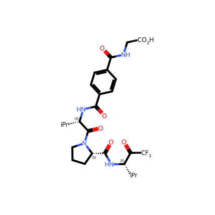 CC(C)[C@H](NC(=O)c1ccc(C(=O)NCC(=O)O)cc1)C(=O)N1CCC[C@H]1C(=O)N[C@H](C(=O)C(F)(F)F)C(C)C